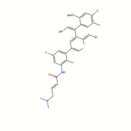 C\C=C(/C=C(C(\C)=C\CC)/C(=C\CCC)c1cc(C)c(F)cc1OC)c1cc(F)cc(NC(=O)/C=C/CN(C)C)c1C